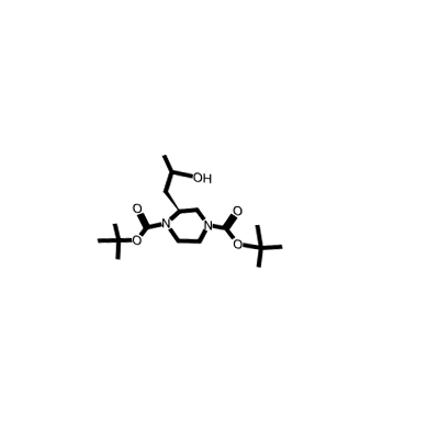 CC(O)C[C@H]1CN(C(=O)OC(C)(C)C)CCN1C(=O)OC(C)(C)C